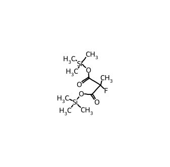 CC(F)(C(=O)O[Si](C)(C)C)C(=O)O[Si](C)(C)C